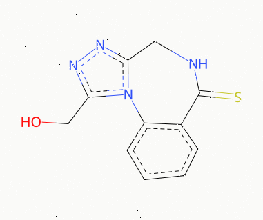 OCc1nnc2n1-c1ccccc1C(=S)NC2